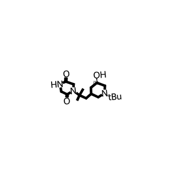 CC(C)(C)N1CC(CC(C)(C)N2CC(=O)NCC2=O)C[C@H](O)C1